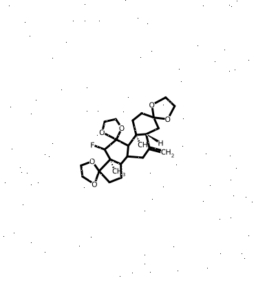 C=C1CC2C3CCC4(OCCO4)[C@@]3(C)C(F)C3(OCCO3)C2[C@@]2(C)CCC3(C[C@H]12)OCCO3